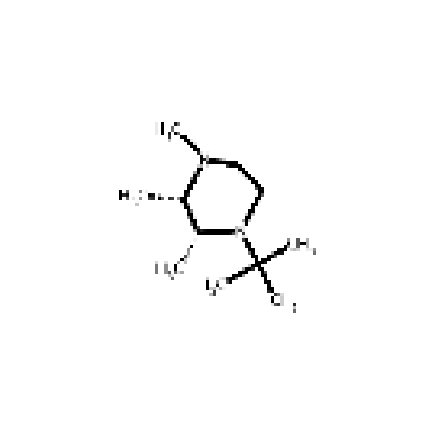 C[C@@H]1[C@H](C)N(C)CCN1C(C)(C)C